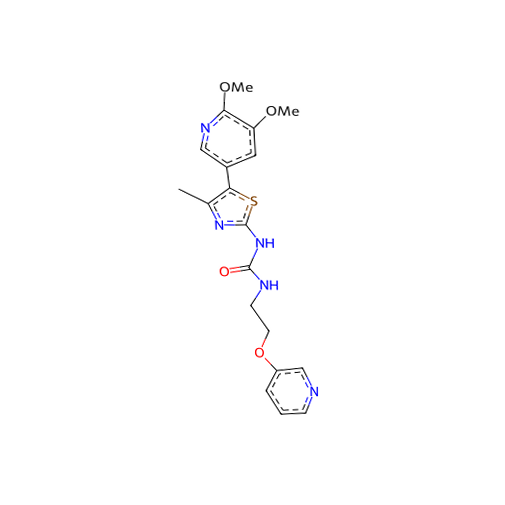 COc1cc(-c2sc(NC(=O)NCCOc3cccnc3)nc2C)cnc1OC